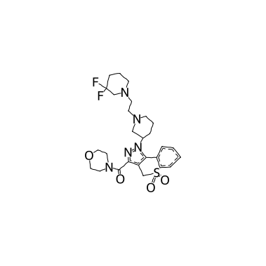 O=C(c1nn(C2CCCN(CCN3CCCC(F)(F)C3)C2)c2c1CS(=O)(=O)c1ccccc1-2)N1CCOCC1